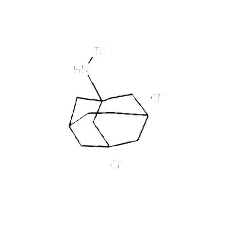 [Cl-].[Cl-].[Ti+2][NH]C12CC3CC(CC(C3)C1)C2